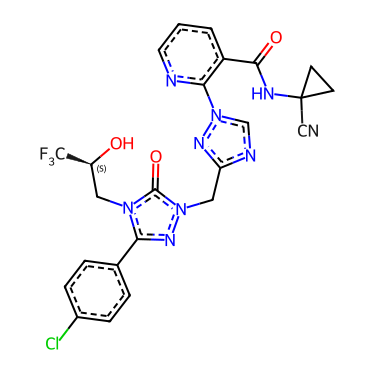 N#CC1(NC(=O)c2cccnc2-n2cnc(Cn3nc(-c4ccc(Cl)cc4)n(C[C@H](O)C(F)(F)F)c3=O)n2)CC1